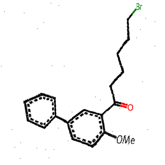 COc1ccc(-c2ccccc2)cc1C(=O)CCCCCBr